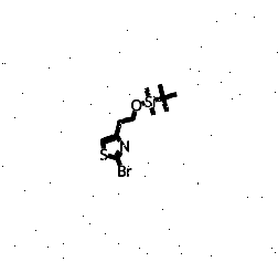 CC(C)(C)[Si](C)(C)OCCc1csc(Br)n1